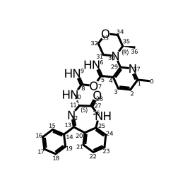 Cc1ccc(C(=N)OC(=N)N[C@H]2N=C(c3ccccc3)c3ccccc3NC2=O)c(N2CCOC[C@H]2C)n1